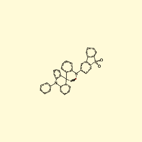 O=S1(=O)c2ccccc2-c2cc(N3c4ccccc4C4(c5ccccc5N(c5ccccc5)c5ccccc54)c4ccccc43)ccc21